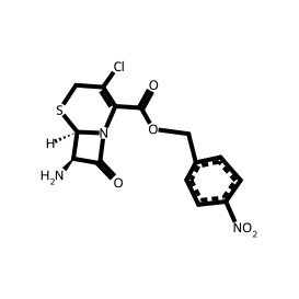 N[C@@H]1C(=O)N2C(C(=O)OCc3ccc([N+](=O)[O-])cc3)=C(Cl)CS[C@H]12